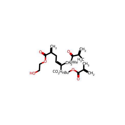 C=C(C)C(=O)OC.C=C(C)C(=O)OCCCC.C=C(CC=C(C)C(=O)O)C(=O)OCCO